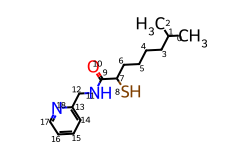 CC(C)CCCCC(S)C(=O)NCc1ccccn1